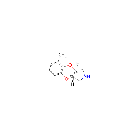 Cc1cccc2c1O[C@H]1CNC[C@@H]1O2